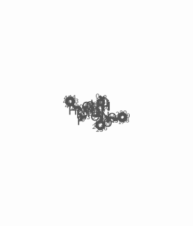 CC1(C)C[C@H]2[C@H](CN(C(=O)[C@@H](NC(=O)OCc3ccccc3)C3CCCCC3)[C@@H]2C(=O)N[C@@H](CC(F)F)C(=O)NCCc2ccccc2)O1